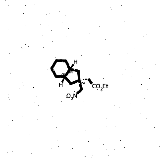 CCOC(=O)C[C@@]1(C[N+](=O)[O-])C[C@H]2CCCC[C@H]2C1